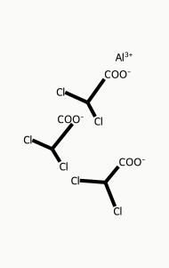 O=C([O-])C(Cl)Cl.O=C([O-])C(Cl)Cl.O=C([O-])C(Cl)Cl.[Al+3]